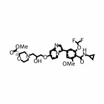 COC(=O)[C@@H]1CN(CC(O)COc2ccn3c(-c4cc(OC)c(C(=O)NC5CC5)c(OC(F)F)c4)cnc3c2)CCO1